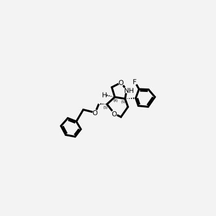 Fc1ccccc1[C@]12CCO[C@H](COCc3ccccc3)[C@H]1CON2